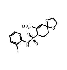 CCOC(=O)C1=CC2(CCC1S(=O)(=O)Nc1ccccc1I)OCCO2